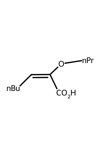 CCCC/C=C(/OCCC)C(=O)O